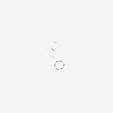 FC(F)(F)C(F)(F)C(Br)=NNc1c(Cl)cc(Cl)cc1Cl